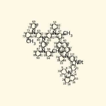 CCn1c2ccc(N(c3ccccc3)c3cccc4ccccc34)cc2c2cc(N(c3ccccc3)c3ccc4ccc5c(-c6cc(C)cc(N(c7ccccc7)c7ccc(N(c8ccc(N(c9ccccc9)c9cccc(C)c9)cc8)c8ccc(N(c9ccccc9)c9cccc(C)c9)cc8)cc7)c6)ccc6ccc3c4c65)ccc21